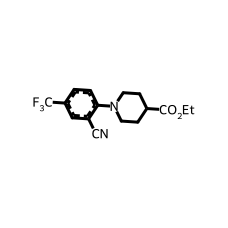 CCOC(=O)C1CCN(c2ccc(C(F)(F)F)cc2C#N)CC1